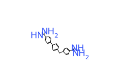 N=C(N)c1ccc(Cc2ccc(-c3ccc(C(=N)N)cc3)cc2)cc1